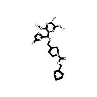 CCOC1=N[C@H](C(C)C)C(OCC)=N[C@H]1[C@H](OCC1=CCN(C(=O)OCc2ccccc2)CC1)c1nc(Br)cs1